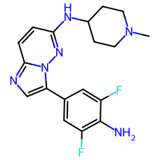 CN1CCC(Nc2ccc3ncc(-c4cc(F)c(N)c(F)c4)n3n2)CC1